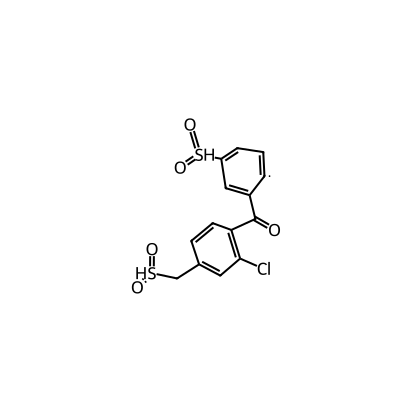 O=C(c1[c]ccc([SH](=O)=O)c1)c1ccc(C[SH](=O)=O)cc1Cl